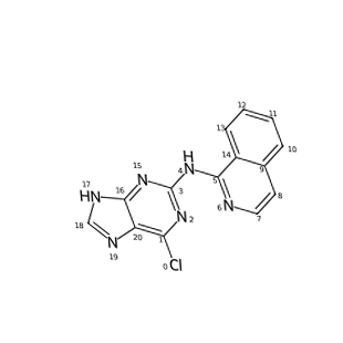 Clc1nc(Nc2nccc3ccccc23)nc2[nH]cnc12